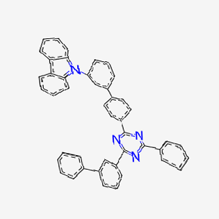 c1ccc(-c2cccc(-c3nc(-c4ccccc4)nc(-c4ccc(-c5cccc(-n6c7ccccc7c7ccccc76)c5)cc4)n3)c2)cc1